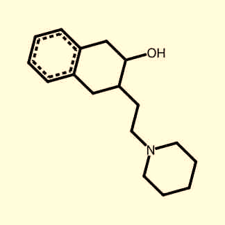 OC1Cc2ccccc2CC1CCN1CCCCC1